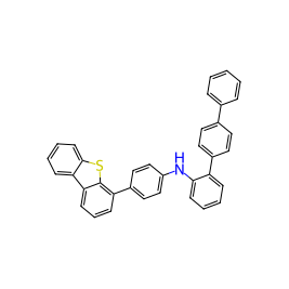 c1ccc(-c2ccc(-c3ccccc3Nc3ccc(-c4cccc5c4sc4ccccc45)cc3)cc2)cc1